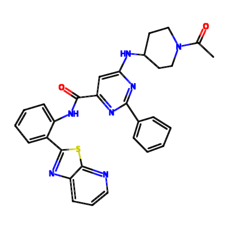 CC(=O)N1CCC(Nc2cc(C(=O)Nc3ccccc3-c3nc4cccnc4s3)nc(-c3ccccc3)n2)CC1